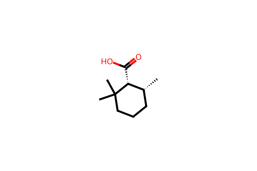 C[C@@H]1CCCC(C)(C)[C@@H]1C(=O)O